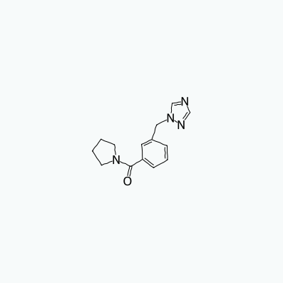 O=C(c1cccc(Cn2cncn2)c1)N1CCCC1